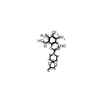 Bc1c(C)c(S/C(=N\C=O)N2CCC3(CC2)OCC(C)O3)c(NO)c(B)c1C(F)(F)F